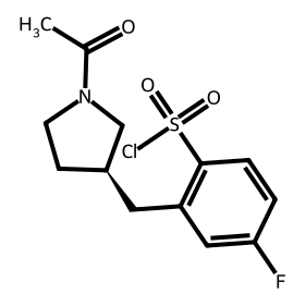 CC(=O)N1CC[C@H](Cc2cc(F)ccc2S(=O)(=O)Cl)C1